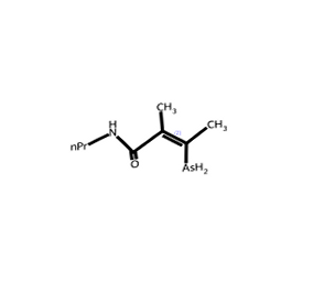 CCCNC(=O)/C(C)=C(/C)[AsH2]